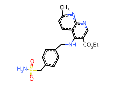 CCOC(=O)c1cnc2nc(C)ccc2c1NCc1ccc(CS(N)(=O)=O)cc1